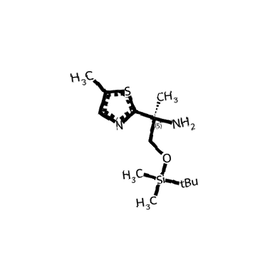 Cc1cnc([C@@](C)(N)CO[Si](C)(C)C(C)(C)C)s1